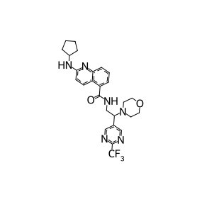 O=C(NCC(c1cnc(C(F)(F)F)nc1)N1CCOCC1)c1cccc2nc(NC3CCCC3)ccc12